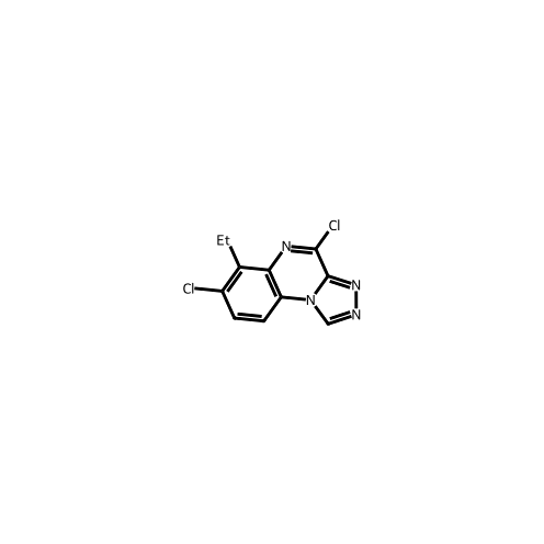 CCc1c(Cl)ccc2c1nc(Cl)c1nncn12